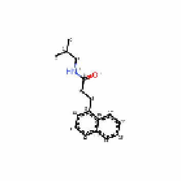 CC(C)CNC(=O)CCc1cccc2ccccc12